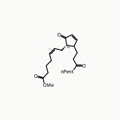 CCCCCC(=O)CCC1C=CC(=O)[C@@H]1C/C=C\CCCC(=O)OC